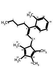 CCCC/C(=C/SC1C(C)=C(C)C(C)=C1C)c1ccccc1C